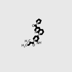 C=C(CC)C(=O)n1ccc(N2CCCc3cc(C(=O)N4CCCC4)cnc32)cc1=N